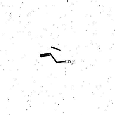 C=CCC(=O)O.CC